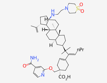 C=C(C)[C@@H]1CC[C@]2(NCCN3CCS(=O)(=O)CC3)CC[C@]3(C)[C@H](CC[C@@H]4C[C@H](C(C)(C)/C(=C\CCC)C5=CC[C@@](COc6cc(C(N)=O)ccn6)(C(=O)O)CC5)CC[C@]43C)[C@@H]12